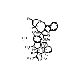 CCC1=C[C@@H]2C[N@](C1)Cc1c([nH]c3ccccc13)[C@@](C(=O)OC)(c1cc3c(cc1OC)N(C)[C@H]1[C@@](O)(C(=O)OC)[C@H](OC(C)=O)[C@]4(CC)C=CCN5CC[C@]31[C@@H]54)C2.O